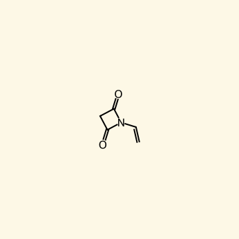 C=CN1C(=O)CC1=O